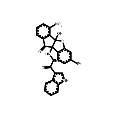 CC(C)c1ccc2c(c1)OC1(O)c3c(cccc3[N+](=O)[O-])C(=O)C21NC(=O)C(=O)c1c[nH]c2ccccc12